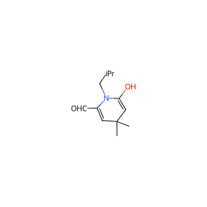 CC(C)CN1C(O)=CC(C)(C)C=C1C=O